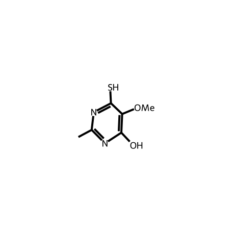 COc1c(O)nc(C)nc1S